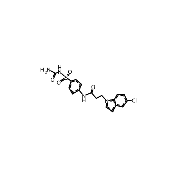 NC(=O)NS(=O)(=O)c1ccc(NC(=O)CCn2ccc3cc(Cl)ccc32)cc1